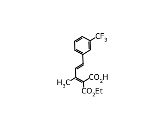 CCOC(=O)C(C(=O)O)=C(C)C=Cc1cccc(C(F)(F)F)c1